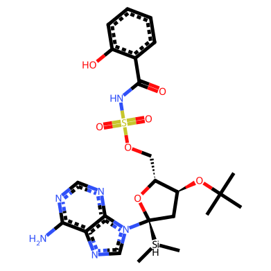 C[SiH](C)[C@]1(n2cnc3c(N)ncnc32)C[C@H](OC(C)(C)C)[C@@H](COS(=O)(=O)NC(=O)c2ccccc2O)O1